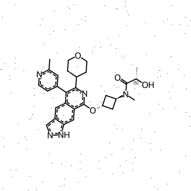 Cc1cc(-c2c(C3CCOCC3)nc(O[C@H]3C[C@H](N(C)C(=O)[C@H](C)O)C3)c3cc4[nH]ncc4cc23)ccn1